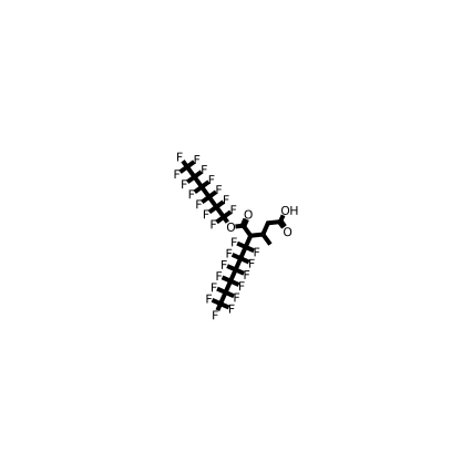 CC(CC(=O)O)C(C(=O)OC(F)(F)C(F)(F)C(F)(F)C(F)(F)C(F)(F)C(F)(F)F)C(F)(F)C(F)(F)C(F)(F)C(F)(F)C(F)(F)C(F)(F)F